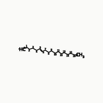 [CH]=CCCCC=CCCCCCCCCCCC